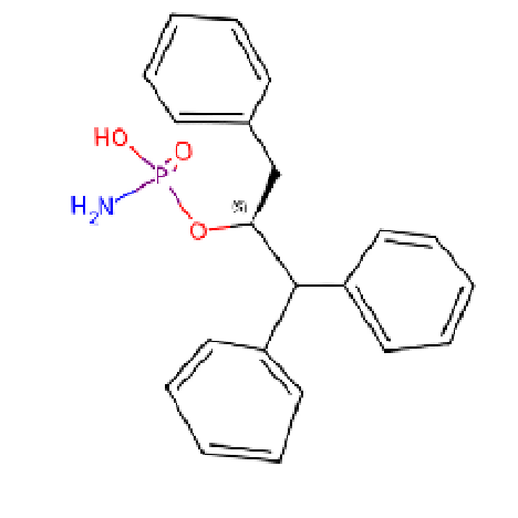 NP(=O)(O)O[C@@H](Cc1ccccc1)C(c1ccccc1)c1ccccc1